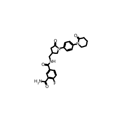 NC(=O)c1cc(C(=O)NCC2CC(=O)N(c3ccc(N4CCCCC4=O)cc3)C2)ccc1F